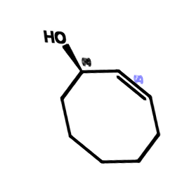 O[C@H]1/C=C\CCCCC1